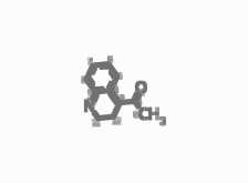 CC(=O)C1=c2ccccc2=NCC1